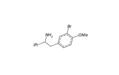 COc1ccc(CC(N)C(C)C)cc1Br